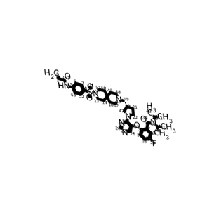 C=CC(=O)Nc1ccc(S(=O)(=O)N2CCC3(CCN(C[C@@H]4CCN(c5ncncc5Oc5ccc(F)cc5C(=O)N(C(C)C)C(C)C)C4)CC3)CC2)cc1